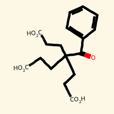 O=C(O)CCC(CCC(=O)O)(CCC(=O)O)C(=O)c1ccccc1